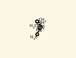 CCc1cccc(C)c1NC(=O)CS(=O)(=O)Cc1nc(-c2ccc(C)cc2)oc1C